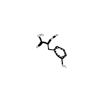 CC(=O)C(Cc1cccc(C)c1)=[N+]=[N-]